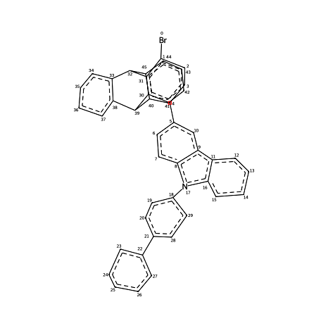 Brc1ccc(-c2ccc3c(c2)c2ccccc2n3-c2ccc(-c3ccccc3)cc2)c2c1C1c3ccccc3C2c2ccccc21